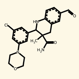 CC1(C(N)=O)Cc2cc([C]=O)ccc2NC1c1cc(Cl)cc(N2CCOCC2)c1